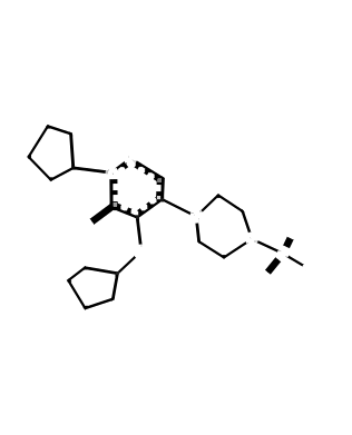 CCCS(=O)(=O)N1CCN(c2cnn(C3CCCC3)c(=O)c2OC2CCCC2)CC1